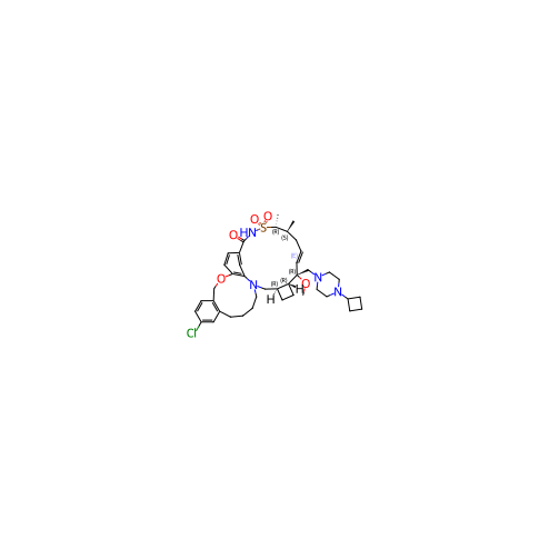 CO[C@@]1(CN2CCN(C3CCC3)CC2)/C=C/C[C@H](C)[C@@H](C)S(=O)(=O)NC(=O)c2ccc3c(c2)N(CCCCc2cc(Cl)ccc2CO3)C[C@@H]2CC[C@H]21